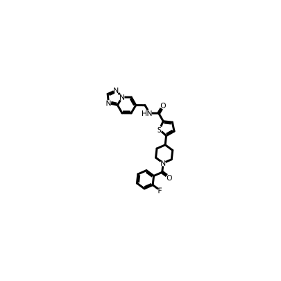 O=C(NCc1ccc2ncnn2c1)c1ccc(C2CCN(C(=O)c3ccccc3F)CC2)s1